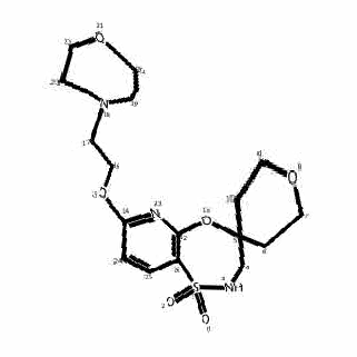 O=S1(=O)NCC2(CCOCC2)Oc2nc(OCCN3CCOCC3)ccc21